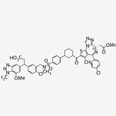 COC(=O)C[C@@H]1N=C(c2ccc(Cl)cc2)c2c(sc(C(=O)C3CCCC(c4ccc(S(=O)(=O)N(C)Cc5cc(C(CC(=O)O)c6cc(OC)c7c(c6)nnn7C)ccc5Cl)cc4)C3)c2C)-n2cnnc21